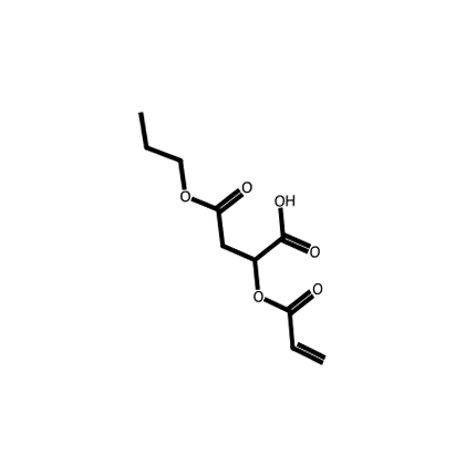 C=CC(=O)OC(CC(=O)OCCC)C(=O)O